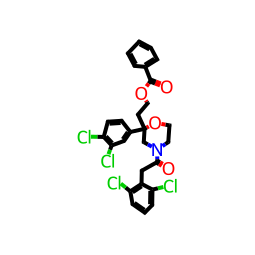 O=C(OCCC1(c2ccc(Cl)c(Cl)c2)CN(C(=O)Cc2c(Cl)cccc2Cl)CCO1)c1ccccc1